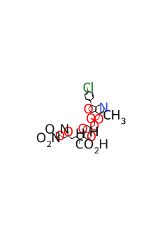 Cc1ncc2c(c1OC(=O)O[C@@H]1CO[C@H]3[C@H]1OC[C@H]3C(CC[C@@H](CO[N+](=O)[O-])O[N+](=O)[O-])C(=O)O)CO[C@H]2c1ccc(Cl)cc1